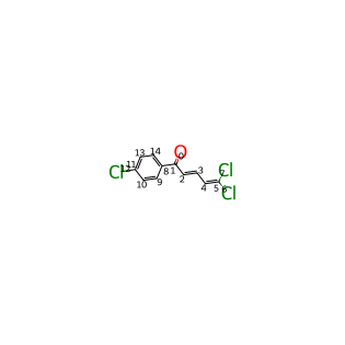 O=C(C=CC=C(Cl)Cl)c1ccc(Cl)cc1